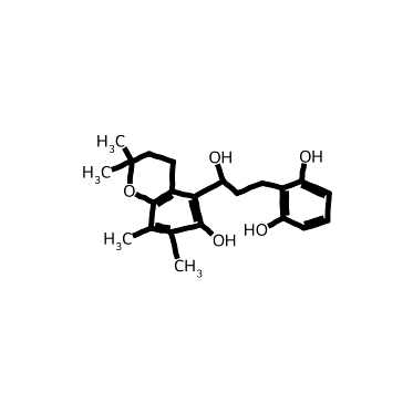 Cc1c(C)c2c(c(C(O)CCc3c(O)cccc3O)c1O)CCC(C)(C)O2